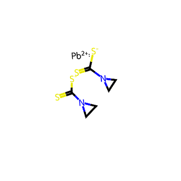 S=C([S-])N1CC1.S=C([S-])N1CC1.[Pb+2]